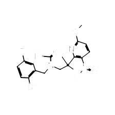 COc1ccc([N+](=O)[O-])c(C(C)(C)CN(Cc2cc(F)ccc2Br)C(=O)O)n1